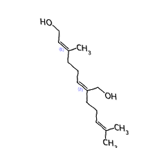 CC(C)=CCC/C(=C/CC/C(C)=C/CO)CO